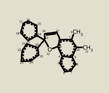 Cc1c2c(c3ccccc3c1C)OC(c1ccccc1)(c1ccccc1)C=C2